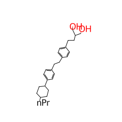 CCCC1CCC(c2ccc(CCc3ccc(CCC(CO)CO)cc3)cc2)CC1